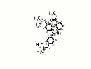 CCC(=O)c1cccc(NC(c2ccc(CC(C)C)cc2)c2ccc(CC(C)C)cc2)c1